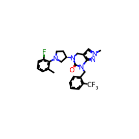 Cc1cccc(F)c1N1CC[C@@H](N2Cc3cn(C)nc3N(Cc3ccccc3C(F)(F)F)C2=O)C1